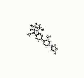 CN(c1ccc(-c2ccc(-c3cn[nH]c3)cc2O)nn1)[C@@H]1C[C@@H]2CC[C@H]1CN2